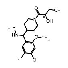 CNC(c1cc(Cl)c(Cl)cc1OC)C1CCN(C(=O)[C@H](O)CO)CC1